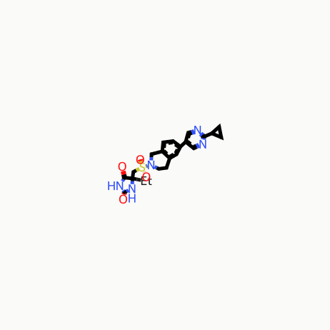 CCC1(CS(=O)(=O)N2CCc3cc(-c4cnc(C5CC5)nc4)ccc3C2)NC(=O)NC1=O